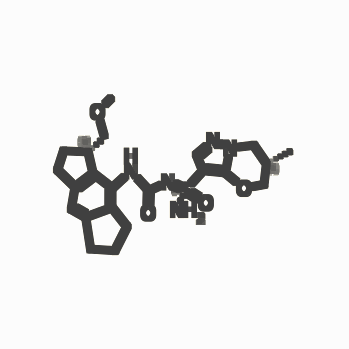 COC[C@H]1CCc2cc3c(c(NC(=O)N=[S@](N)(=O)c4cnn5c4OC[C@@H](C)C5)c21)CCC3